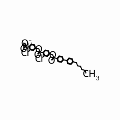 CCCCCCc1ccc(-c2ccc(C(=O)Oc3ccc(C(=O)Oc4ccc([N+](=O)[O-])c(Cl)c4)c(Cl)c3)cc2)cc1